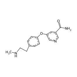 CNCCc1ccc(Oc2cncc(C(N)=O)c2)cc1